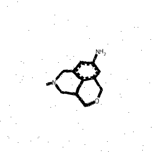 CN1Cc2cc(N)cc3c2C(COC3)C1